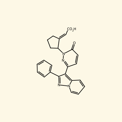 O=C(O)C=C1CCCC1n1nc(-c2c(-c3ccccc3)nn3ccccc23)ccc1=O